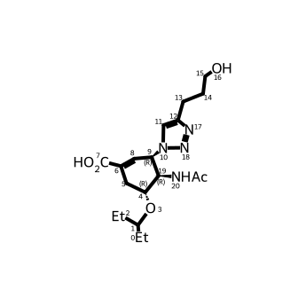 CCC(CC)O[C@@H]1CC(C(=O)O)=C[C@@H](n2cc(CCCO)nn2)[C@H]1NC(C)=O